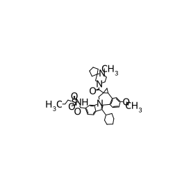 CCCS(=O)(=O)NC(=O)c1ccc2c(C3CCCCC3)c3n(c2c1)CC1(C(=O)N2CCN(C)C4(CCCC4)C2)CC1c1cc(OC)ccc1-3